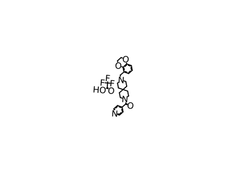 O=C(O)C(F)(F)F.O=C(c1ccncc1)N1CCC2(CCN(Cc3cccc4c3OCCO4)CC2)CC1